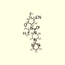 CC1COc2cc(F)c(C#N)cc2N1C(=O)N1CCN(c2ncccn2)CC1